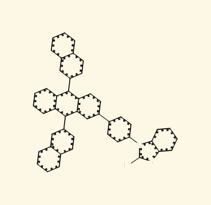 CCc1nc2ccccc2n1-c1ccc(-c2ccc3c(-c4ccc5ccccc5c4)c4ccccc4c(-c4ccc5ccccc5c4)c3c2)cc1